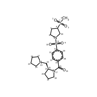 CS(=O)(=O)C1CCN(S(=O)(=O)c2ccc(C(=O)N3CCC[C@H]3CN3CCCC3)cc2)C1